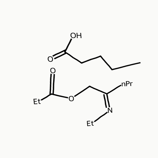 CCCC(COC(=O)CC)=NCC.CCCCC(=O)O